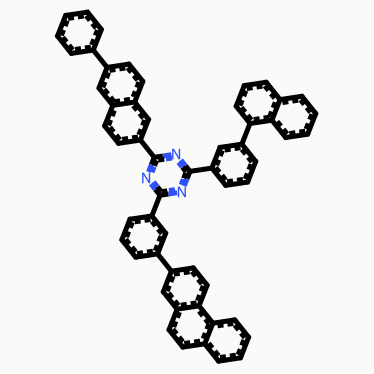 c1ccc(-c2ccc3cc(-c4nc(-c5cccc(-c6ccc7c(ccc8ccccc87)c6)c5)nc(-c5cccc(-c6cccc7ccccc67)c5)n4)ccc3c2)cc1